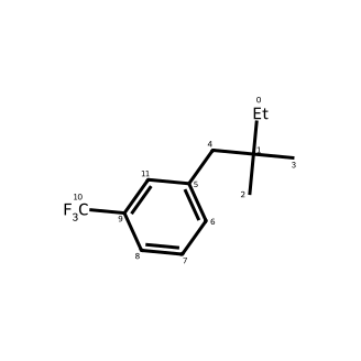 CCC(C)(C)Cc1cccc(C(F)(F)F)c1